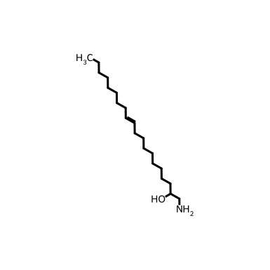 CCCCCCCCC=CCCCCCCCCC(O)CN